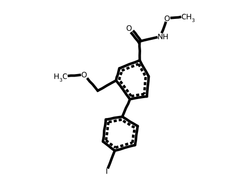 COCc1cc(C(=O)NOC)ccc1-c1ccc(I)cc1